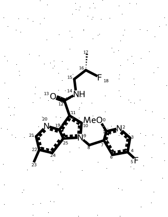 COc1ncc(F)cc1Cn1cc(C(=O)NC[C@H](C)F)c2ncc(C)cc21